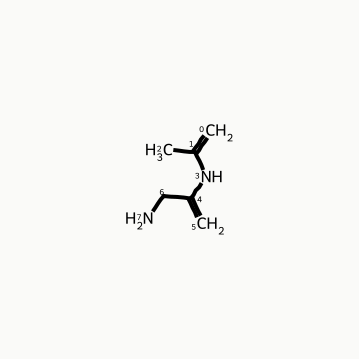 C=C(C)NC(=C)CN